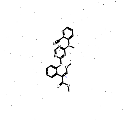 CO/C=C(/C(=O)OC)c1ccccc1Oc1cc(N(C)c2ccccc2C#N)ncn1